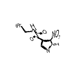 C[C](C)CNS(=O)(=O)c1cn[nH]c1[N+](=O)[O-]